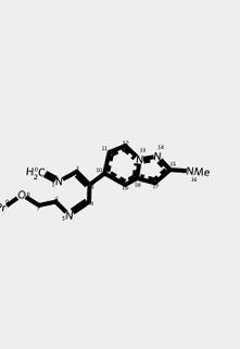 C=N/C=C(\C=N/CCOCCC)c1ccn2nc(NC)cc2c1